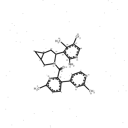 Cc1ccc(-c2ccnc(C)n2)c(C(=O)N2CC3CC3CC2c2c(N)ncc(C(F)(F)F)c2C)n1